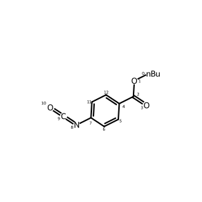 CCCCOC(=O)c1ccc(N=C=O)cc1